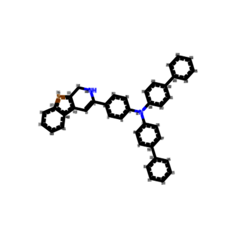 C1=C(c2ccc(N(c3ccc(-c4ccccc4)cc3)c3ccc(-c4ccccc4)cc3)cc2)NCc2sc3ccccc3c21